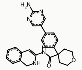 Nc1ncc(-c2ccc(C3(C(=O)NC4=Cc5ccccc5CN4)CCOCC3)cc2)cn1